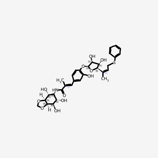 C/C(=C/CSc1ccccc1)[C@H]1O[C@@H](Oc2ccc(/C=C(\C)C(=O)N[C@@H]3[C@H](O)[C@@H](O)[C@H]4OCO[C@H]4[C@@H]3O)cc2O)[C@@H](O)[C@@H]1O